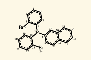 Brc1ccccc1P(c1ccc2ccccc2c1)c1ccccc1Br